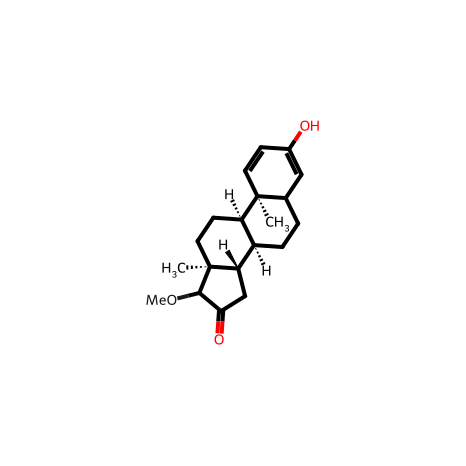 COC1C(=O)C[C@H]2[C@@H]3CCC4C=C(O)C=C[C@]4(C)[C@@H]3CC[C@]12C